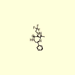 Cc1nn(CC(F)(F)F)c2c1N=C(c1ccccc1)CNC2=O